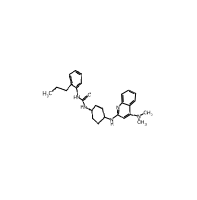 CCCc1ccccc1NC(=O)NC1CCC(Nc2cc(N(C)C)c3ccccc3n2)CC1